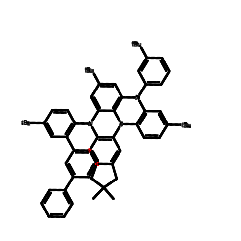 CC1(C)Cc2cc3c(cc2C1)N(c1ccc(C(C)(C)C)cc1-c1cccc(-c2ccccc2)c1)c1cc(C(C)(C)C)cc2c1B3c1ccc(C(C)(C)C)cc1N2c1cccc(C(C)(C)C)c1